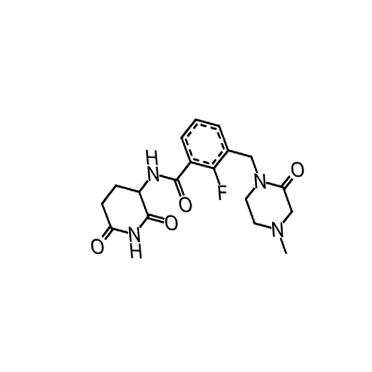 CN1CCN(Cc2cccc(C(=O)NC3CCC(=O)NC3=O)c2F)C(=O)C1